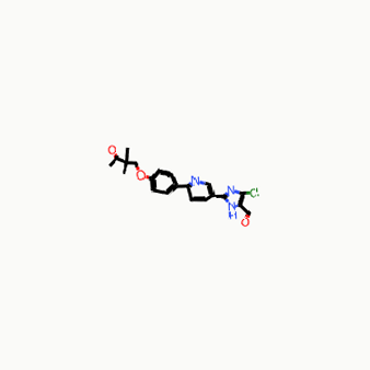 CC(=O)C(C)(C)COc1ccc(-c2ccc(-c3nc(Cl)c(C=O)[nH]3)cn2)cc1